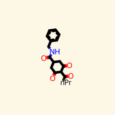 CCCC(=O)C1C(=O)CC(C(=O)NCc2ccccc2)CC1=O